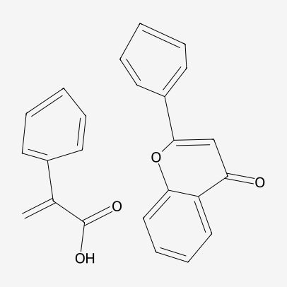 C=C(C(=O)O)c1ccccc1.O=c1cc(-c2ccccc2)oc2ccccc12